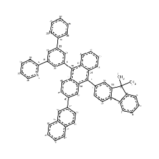 CC1(C)c2ccccc2-c2ccc(-c3c4ccccc4c(-c4cc(-c5ccccn5)cc(-c5ccccn5)c4)c4ccc(-c5ccc6ccccc6c5)cc34)cc21